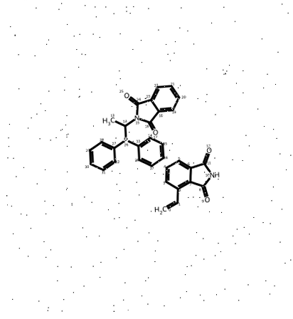 C=Cc1cccc2c1C(=O)NC2=O.CC(N1C(=O)c2ccccc2C1=O)P(c1ccccc1)c1ccccc1